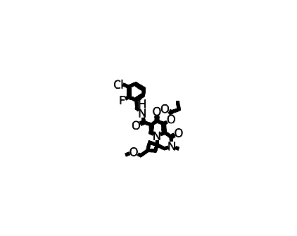 CCC(=O)Oc1c2n(cc(C(=O)NCc3cccc(Cl)c3F)c1=O)C1(CC(COC)C1)CN(C)C2=O